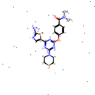 CN(C)C(=O)c1ccc(Oc2nc(-c3cnc(N)s3)nc(N3CCSCC3)n2)cc1